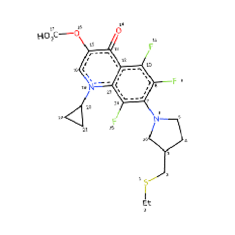 CCSCC1CCN(c2c(F)c(F)c3c(=O)c(OC(=O)O)cn(C4CC4)c3c2F)C1